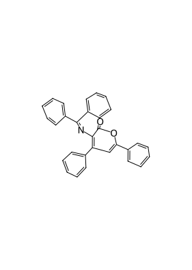 O=c1oc(-c2ccccc2)cc(-c2ccccc2)c1N=C(c1ccccc1)c1ccccc1